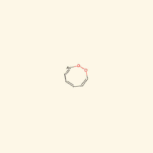 [C]1=C\C=[As]/OO\C=C/1